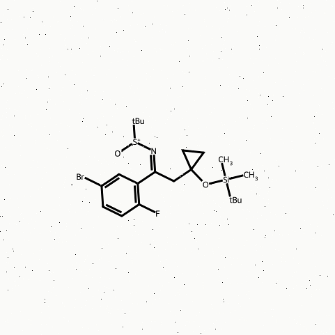 CC(C)(C)[S+]([O-])N=C(CC1(O[Si](C)(C)C(C)(C)C)CC1)c1cc(Br)ccc1F